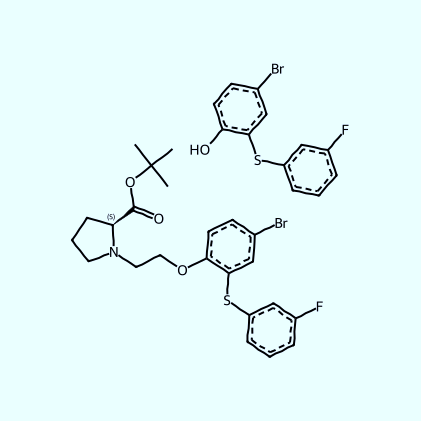 CC(C)(C)OC(=O)[C@@H]1CCCN1CCOc1ccc(Br)cc1Sc1cccc(F)c1.Oc1ccc(Br)cc1Sc1cccc(F)c1